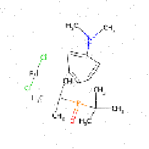 C[NH+](C)c1ccc(P(=O)(C(C)(C)C)C(C)(C)C)cc1.[Cl][Pd][Cl]